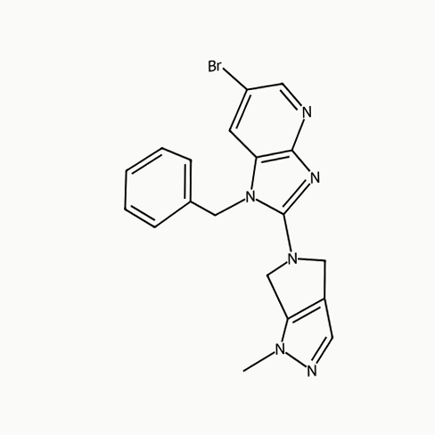 Cn1ncc2c1CN(c1nc3ncc(Br)cc3n1Cc1ccccc1)C2